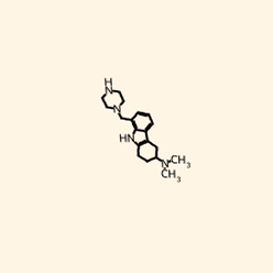 CN(C)C1CCc2[nH]c3c(CN4CCNCC4)cccc3c2C1